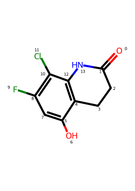 O=C1CCc2c(O)cc(F)c(Cl)c2N1